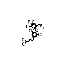 FC(F)(F)c1cc(C(F)(F)F)c(Oc2c(Cl)cc(OCC=C(Cl)Cl)cc2Cl)nc1Cl